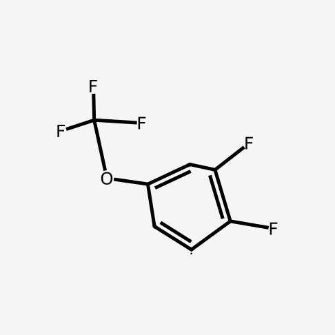 Fc1[c]cc(OC(F)(F)F)cc1F